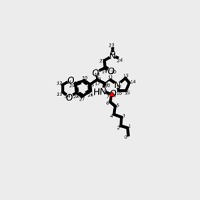 CCCCCCCC(=O)N[C@H](CN1CCCC1)[C@H](OC(=O)CN(C)C)c1ccc2c(c1)OCCO2